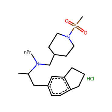 CCCN(CC1CCN(S(C)(=O)=O)CC1)C(C)Cc1ccc2c(c1)CCC2.Cl